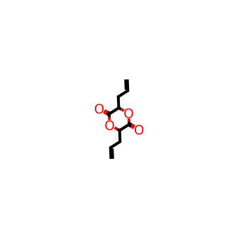 C=CCC1OC(=O)C(CC=C)OC1=O